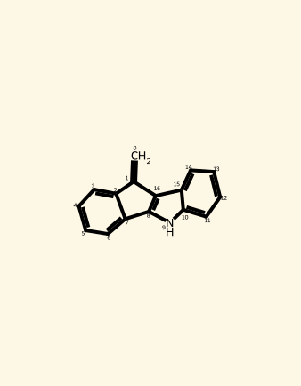 C=C1c2ccccc2-c2[nH]c3ccccc3c21